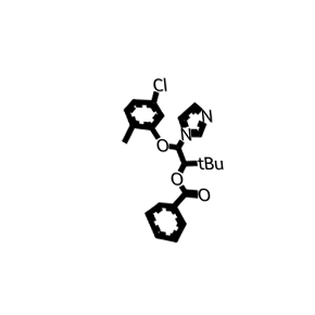 Cc1ccc(Cl)cc1OC(C(OC(=O)c1ccccc1)C(C)(C)C)n1ccnc1